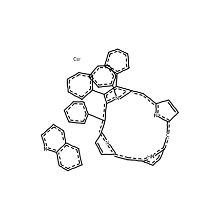 C1=Cc2cc3c(-c4ccccc4)c(-c4ccccc4)c(c(-c4ccccc4)c4nc(cc5ccc(cc1n2)[nH]5)C=C4)n3-c1ccccc1.[Cu].c1ccc2ncccc2c1